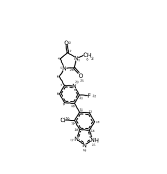 CN1C(=O)CN(Cc2ccc(-c3ccc4[nH]nnc4c3Cl)c(F)n2)C1=O